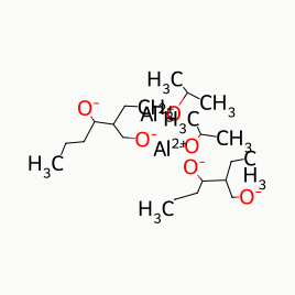 CC(C)[O][Al+2].CC(C)[O][Al+2].CCCC([O-])C(CC)C[O-].CCCC([O-])C(CC)C[O-]